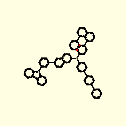 c1ccc(-c2ccc(-c3ccc(N(c4ccc(-c5cccc6cccc(-c7ccccc7)c56)cc4)c4ccc5cc(-c6cccc(-n7c8ccccc8c8ccccc87)c6)ccc5c4)cc3)cc2)cc1